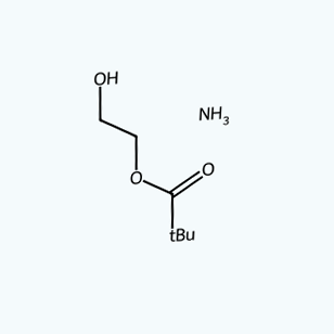 CC(C)(C)C(=O)OCCO.N